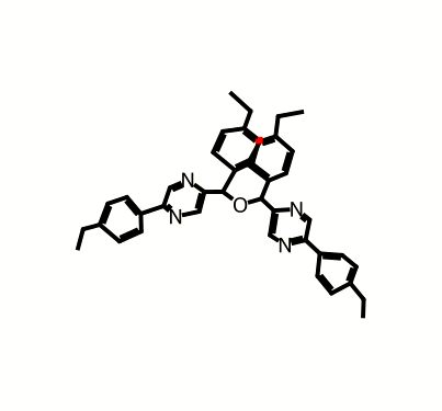 CCc1ccc(-c2cnc(C(OC(c3ccc(CC)cc3)c3cnc(-c4ccc(CC)cc4)cn3)c3ccc(CC)cc3)cn2)cc1